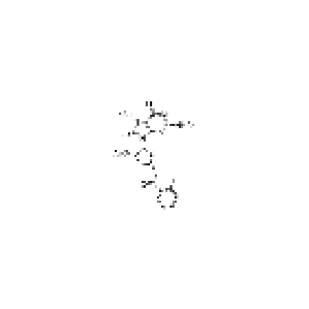 CCCCn1c(=O)n([C@@H]2O[C@@H](OC(=O)c3ccccc3C)C[C@H]2OC(C)=O)c2nc(NC(C)=O)[nH]c(=O)c21